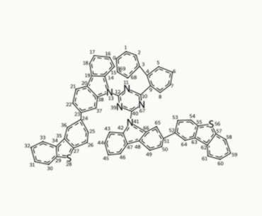 c1ccc(-c2ccccc2-c2nc(-n3c4ccccc4c4ccc(-c5ccc6sc7ccccc7c6c5)cc43)nc(-n3c4ccccc4c4ccc(-c5ccc6sc7ccccc7c6c5)cc43)n2)cc1